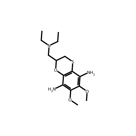 CCN(CC)CC1CSc2c(N)c(OC)c(OC)c(N)c2O1